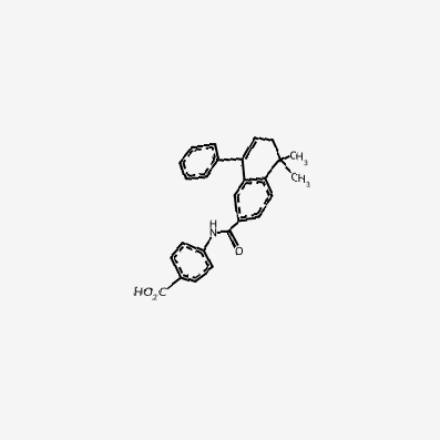 CC1(C)CC=C(c2ccccc2)c2cc(C(=O)Nc3ccc(C(=O)O)cc3)ccc21